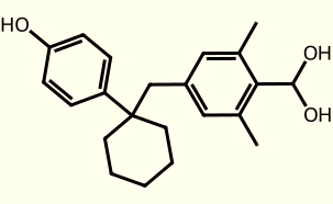 Cc1cc(CC2(c3ccc(O)cc3)CCCCC2)cc(C)c1C(O)O